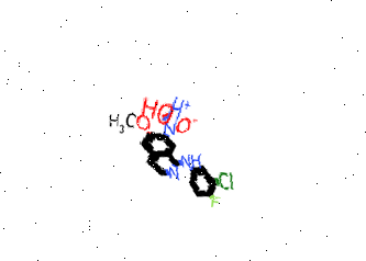 COc1cc2ccnc(Nc3ccc(F)c(Cl)c3)c2cc1[NH+]([O-])O